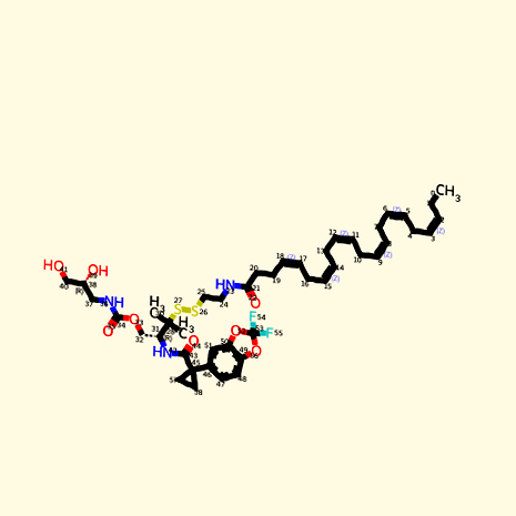 CC/C=C\C/C=C\C/C=C\C/C=C\C/C=C\C/C=C\CCC(=O)NCCSSC(C)(C)[C@@H](COC(=O)NC[C@@H](O)CO)NC(=O)C1(c2ccc3c(c2)OC(F)(F)O3)CC1